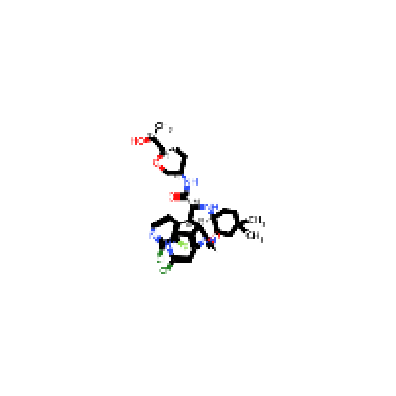 C[C@@H](O)[C@@H]1CC[C@@H](NC(=O)[C@@H]2NC3(CCC(C)(C)CC3)[C@@]3(C(=O)Nc4cc(Cl)ncc43)[C@H]2c2ccnc(Cl)c2F)CO1